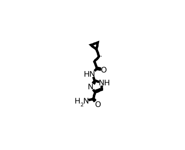 NC(=O)c1c[nH]c(NC(=O)C[CH]C2CC2)n1